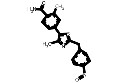 Cc1cc(-c2sc(Cc3ccc(N=O)cc3)nc2C)ccc1C(N)=O